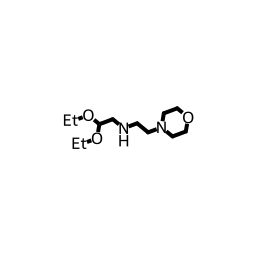 CCOC(CNCCN1CCOCC1)OCC